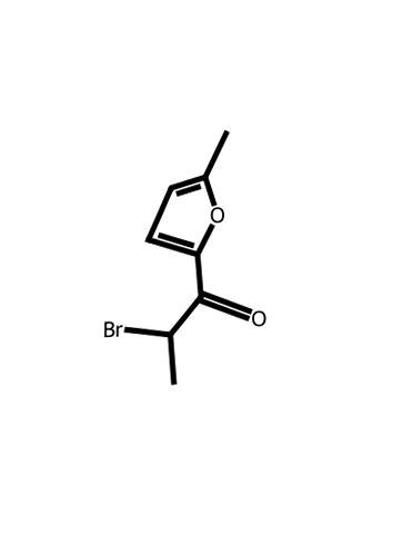 Cc1ccc(C(=O)C(C)Br)o1